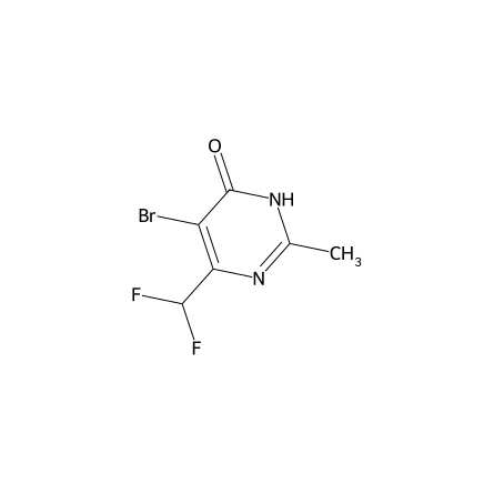 Cc1nc(C(F)F)c(Br)c(=O)[nH]1